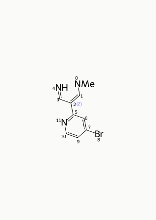 CN/C=C(\C=N)c1cc(Br)ccn1